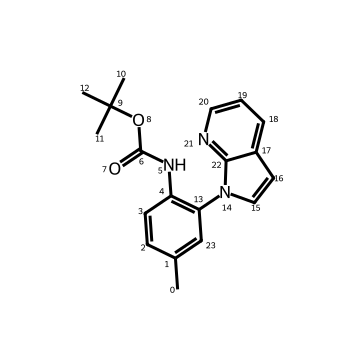 Cc1ccc(NC(=O)OC(C)(C)C)c(-n2ccc3cccnc32)c1